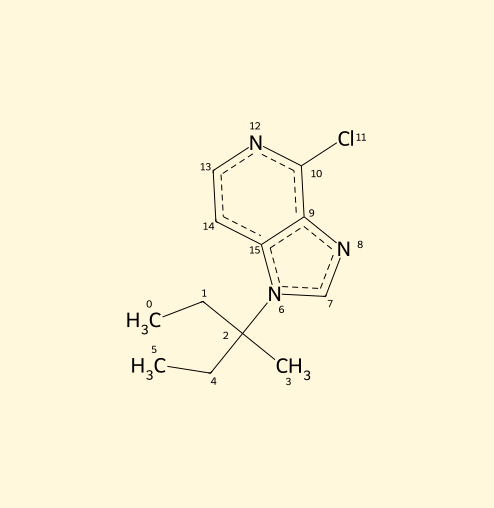 CCC(C)(CC)n1cnc2c(Cl)nccc21